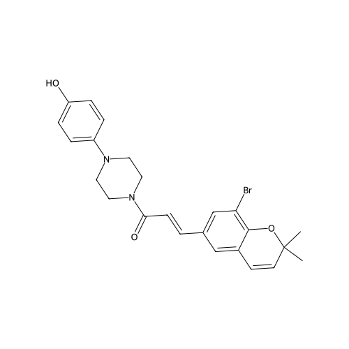 CC1(C)C=Cc2cc(C=CC(=O)N3CCN(c4ccc(O)cc4)CC3)cc(Br)c2O1